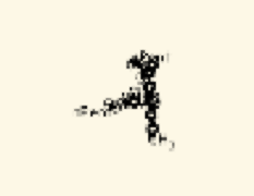 CCCCCC(=O)OCn1cc2cc(C[C@@H](NC(=O)N3CCC(c4cc5ccccc5n(COC(=O)CCCCC)c4=O)CC3)C(=O)N3CCN(C4CCN(C)CC4)CC3)cc(C)c2n1